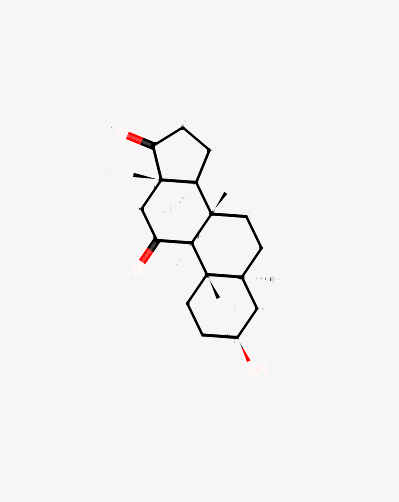 C[C@]12CC[C@H](O)C[C@@H]1CC[C@@H]1[C@@H]2C(=O)C[C@]2(C)C(=O)CC[C@@H]12